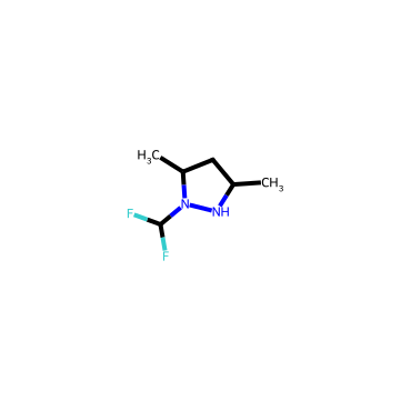 CC1CC(C)N(C(F)F)N1